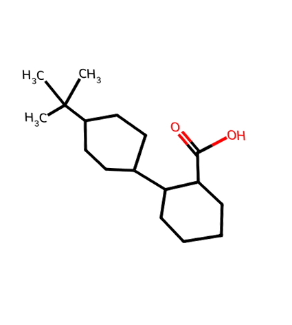 CC(C)(C)C1CCC(C2CCCCC2C(=O)O)CC1